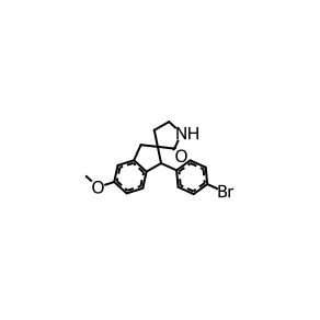 COc1ccc2c(c1)CC1(CCNC1=O)C2c1ccc(Br)cc1